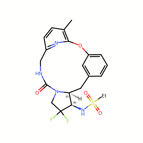 CCS(=O)(=O)N[C@@H]1[C@@H]2Cc3cccc(c3)Oc3nc(ccc3C)CNC(=O)N2CC1(F)F